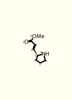 COC(=O)/C=C/[C@@H]1CCCN1